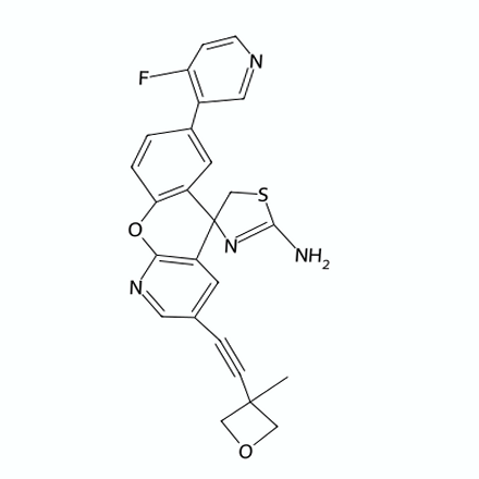 CC1(C#Cc2cnc3c(c2)C2(CSC(N)=N2)c2cc(-c4cnccc4F)ccc2O3)COC1